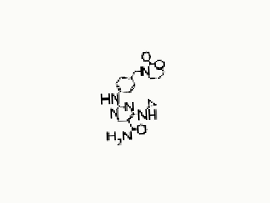 NC(=O)c1cnc(Nc2ccc(CN3CCCOC3=O)cc2)nc1NC1CC1